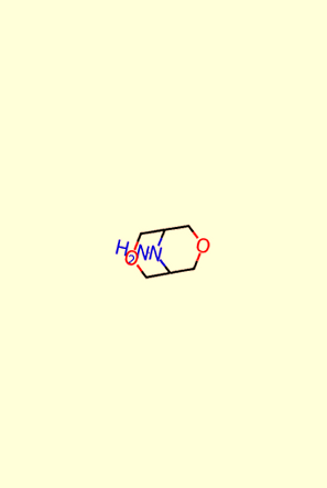 NN1C2COCC1COC2